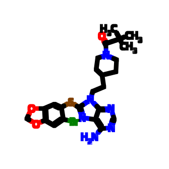 CC(C)(C)C(=O)N1CCC(CCn2c(Sc3cc4c(cc3Br)OCO4)nc3c(N)ncnc32)CC1